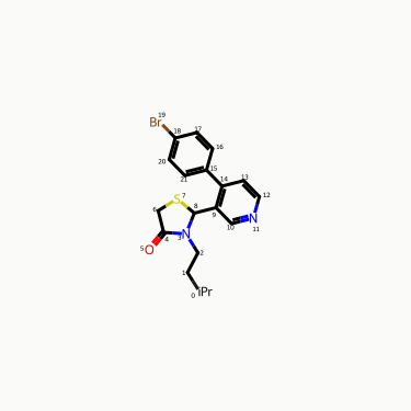 CC(C)CCN1C(=O)CSC1c1cnccc1-c1ccc(Br)cc1